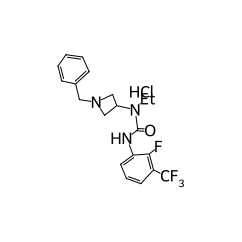 CCN(C(=O)Nc1cccc(C(F)(F)F)c1F)C1CN(Cc2ccccc2)C1.Cl